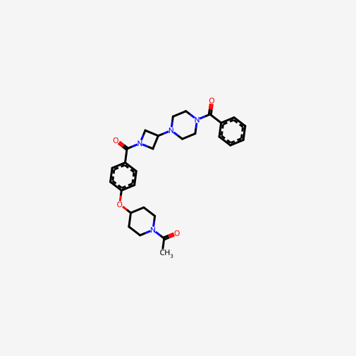 CC(=O)N1CCC(Oc2ccc(C(=O)N3CC(N4CCN(C(=O)c5ccccc5)CC4)C3)cc2)CC1